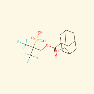 O=C(OCC(C(F)(F)F)(C(F)(F)F)S(=O)(=O)O)C12CC3CC(C1)C(O)C(C3)C2